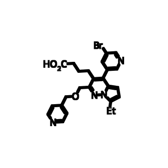 CCc1ccc2c(-c3cncc(Br)c3)c(CCCC(=O)O)c(COCc3ccncc3)nn12